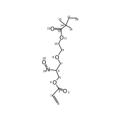 C=CC(=O)OCC(COCCOC(=O)C(C)(C)CC)N=O